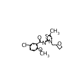 COc1ccc(Cl)cc1C(=O)N=c1sc(C)cn1CC1CCO1